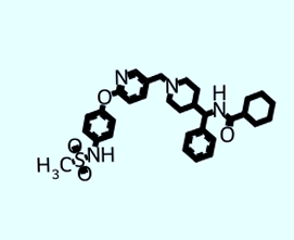 CS(=O)(=O)Nc1ccc(Oc2ccc(CN3CCC(C(NC(=O)C4CCCCC4)c4ccccc4)CC3)cn2)cc1